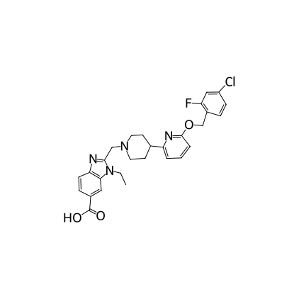 CCn1c(CN2CCC(c3cccc(OCc4ccc(Cl)cc4F)n3)CC2)nc2ccc(C(=O)O)cc21